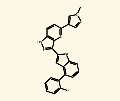 Cn1cc(-c2ccc3[nH]nc(-c4cc5c(-c6ccccc6F)cccc5[nH]4)c3n2)cn1